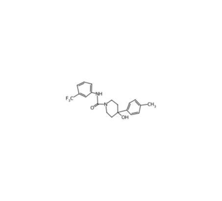 Cc1ccc(C2(O)CCN(C(=O)Nc3cccc(C(F)(F)F)c3)CC2)cc1